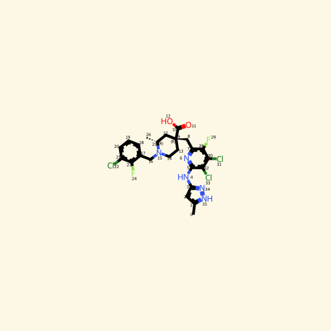 Cc1cc(Nc2nc(C[C@@]3(C(=O)O)CCN(Cc4cccc(Cl)c4F)[C@H](C)C3)c(F)c(Cl)c2Cl)n[nH]1